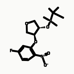 CC(C)(C)[Si](C)(C)O[C@H]1COC[C@@H]1Oc1cc(F)ccc1[N+](=O)[O-]